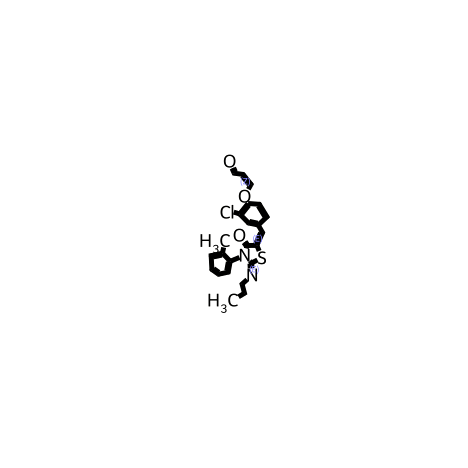 CCC/N=C1/S/C(=C/c2ccc(O/C=C\C=O)c(Cl)c2)C(=O)N1c1ccccc1C